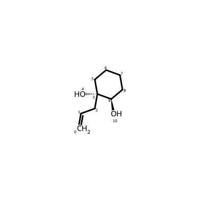 C=CC[C@@]1(O)CCCC[C@H]1O